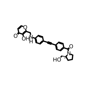 O=C(c1ccc(C#Cc2ccc(NCc3occc(=O)c3O)cc2)cc1)N1CCC[C@H]1CO